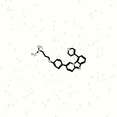 CN(C)CCCOc1ccc(-c2ccc3nc4cccc(C5=CCOCC5)c4n3c2)cc1